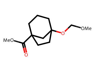 COCOC12CCCC(C(=O)OC)(CC1)C2